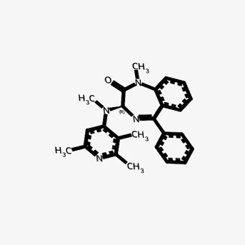 Cc1cc(N(C)[C@@H]2N=C(c3ccccc3)c3ccccc3N(C)C2=O)c(C)c(C)n1